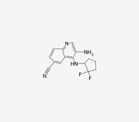 N#Cc1ccc2ncc(N)c(NC3CCCC3(F)F)c2c1